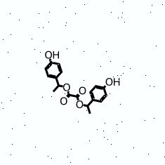 CC(OC(=O)C(=O)OC(C)c1ccc(O)cc1)c1ccc(O)cc1